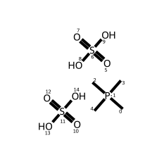 C[P](C)(C)C.O=S(=O)(O)O.O=S(=O)(O)O